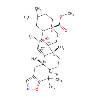 COC(=O)[C@]12CCC(C)(C)CC1C[C@](C)([C@]1(C)CC[C@H]3C(C)(C)c4oncc4C[C@]3(C)/C1=C/C(C)=O)CC2